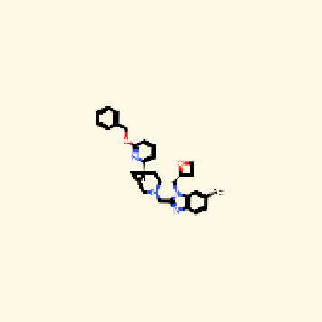 CC(=O)c1ccc2nc(CN3CC[C@@]4(c5cccc(OCc6ccccc6)n5)C[C@H]4C3)n(C[C@@H]3CCO3)c2c1